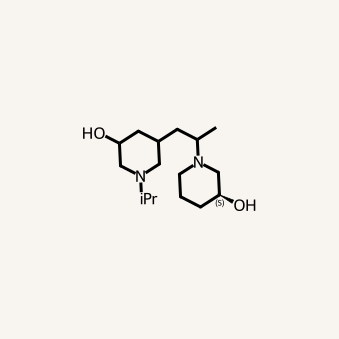 CC(C)N1CC(O)CC(CC(C)N2CCC[C@H](O)C2)C1